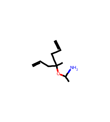 C=CCC(C)(CC=C)OC(C)N